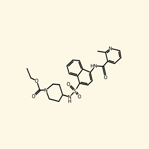 CCOC(=O)N1CCC(NS(=O)(=O)c2ccc(NC(=O)c3cccnc3C)c3ccccc23)CC1